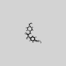 CCN1CCN(CC(=O)N(C)c2ccc(N)cc2)CC1